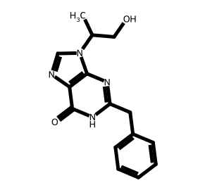 CC(CO)n1cnc2c(=O)[nH]c(Cc3ccccc3)nc21